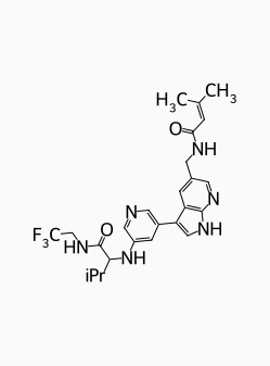 CC(C)=CC(=O)NCc1cnc2[nH]cc(-c3cncc(NC(C(=O)NCC(F)(F)F)C(C)C)c3)c2c1